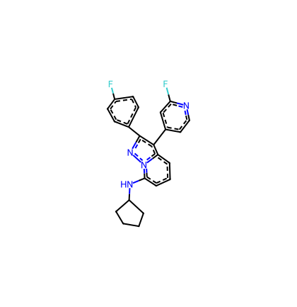 Fc1ccc(-c2nn3c(NC4CCCC4)cccc3c2-c2ccnc(F)c2)cc1